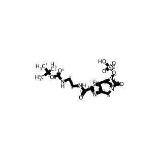 CC(C)(C)OC(=O)NCCNC(=O)c1nc2c(s1)C1CN(C2)C(=O)N1OS(=O)(=O)O